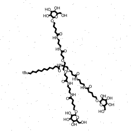 CC(C)(C)CCCCCCCCCCC(=O)NC(COCCC(=O)NCCCNC(=O)CCCCO[C@H]1OC(CO)[C@@H](O)C(O)C1O)(COCCC(=O)NCCCNC(=O)CCCCO[C@H]1OC(CO)[C@@H](O)C(O)C1O)COCCC(=O)NCCCNC(=O)CCCCO[C@H]1OC(CO)[C@@H](O)C(O)C1O